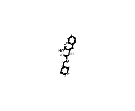 O=C(N/C(=C/c1ccccc1)C(=O)O)OCc1ccccc1